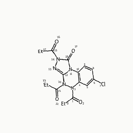 CCC(=O)N1c2cc(Cl)ccc2-n2c(nn(C(=O)CC)c2=O)N1C(=O)CC